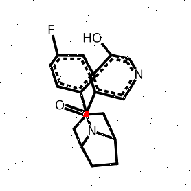 O=C(c1cncc(O)c1)N1C2CCC1CC(c1ccc(F)cc1)C2